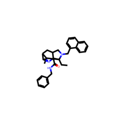 CCC12C(C)C3C=NC1(C(=O)NCc1ccccc1)C(C3)CN2Cc1cccc2ccccc12